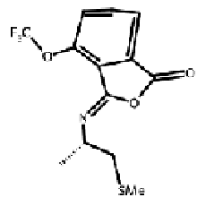 CSC[C@H](C)N=C1OC(=O)c2cccc(OC(F)(F)F)c21